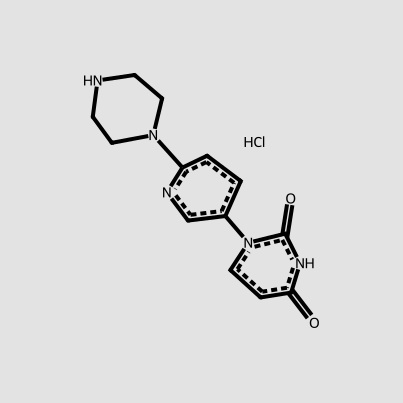 Cl.O=c1ccn(-c2ccc(N3CCNCC3)nc2)c(=O)[nH]1